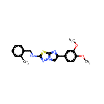 COc1ccc(-c2cn3nc(NCc4ccccc4C)sc3n2)cc1OC